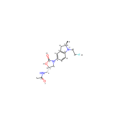 CC(=O)NC[C@H]1CN(c2ccc3c(c2)C[C@@H](C)N3CCF)C(=O)O1